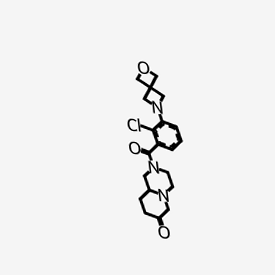 O=C1CCC2CN(C(=O)c3cccc(N4CC5(COC5)C4)c3Cl)CCN2C1